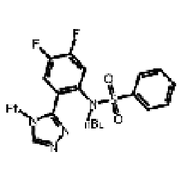 CCCCN(c1cc(F)c(F)cc1-c1nncn1CC)S(=O)(=O)c1ccccc1